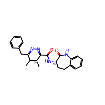 CC1C(Cc2ccccc2)=NN=C(C(=O)N[C@H]2CCc3ccccc3NC2=O)[C@H]1C